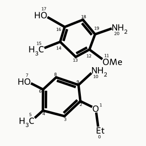 CCOc1cc(C)c(O)cc1N.COc1cc(C)c(O)cc1N